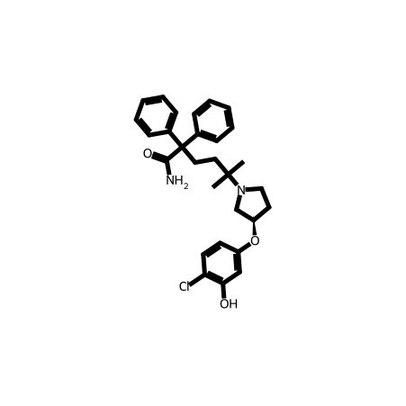 CC(C)(CCC(C(N)=O)(c1ccccc1)c1ccccc1)N1CC[C@@H](Oc2ccc(Cl)c(O)c2)C1